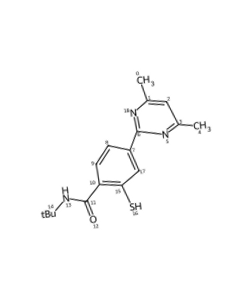 Cc1cc(C)nc(-c2ccc(C(=O)NC(C)(C)C)c(S)c2)n1